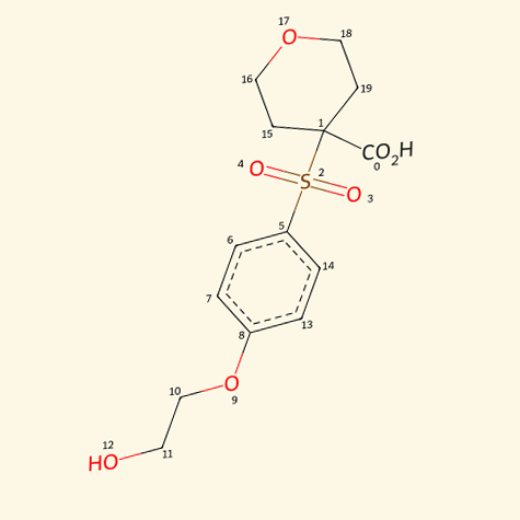 O=C(O)C1(S(=O)(=O)c2ccc(OCCO)cc2)CCOCC1